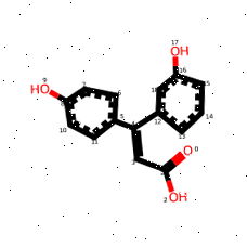 O=C(O)C=C(c1ccc(O)cc1)c1cccc(O)c1